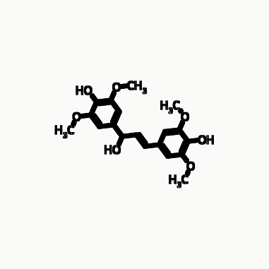 COc1cc(C=CC(O)c2cc(OC)c(O)c(OC)c2)cc(OC)c1O